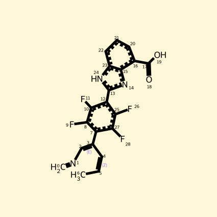 C=N/C=C(\C=C/C)c1c(F)c(F)c(-c2nc3c(C(=O)O)cccc3[nH]2)c(F)c1F